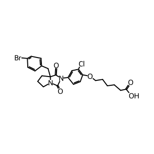 O=C(O)CCCCCOc1ccc(N2C(=O)N3CCCC3(Cc3ccc(Br)cc3)C2=O)cc1Cl